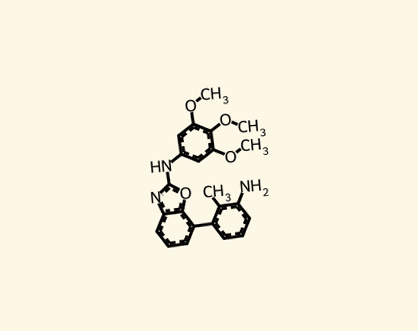 COc1cc(Nc2nc3cccc(-c4cccc(N)c4C)c3o2)cc(OC)c1OC